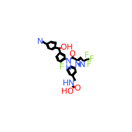 N#Cc1ccc(C(O)c2ccc(F)c(NC(=O)c3cc(C(F)(F)F)nn3-c3cccc(CNC(=O)O)c3)c2)cc1